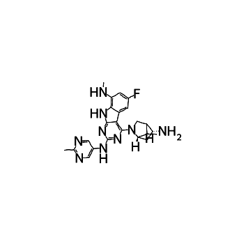 CNc1cc(F)cc2c1[nH]c1nc(Nc3cnc(C)nc3)nc(N3CC4[C@H](N)C[C@H]3[C@@H]4C)c12